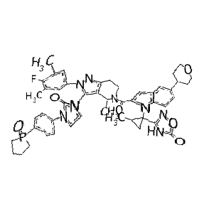 Cc1cc(-n2nc3c(c2-n2ccn(-c4ccc(P5(=O)CCCC5)cc4)c2=O)C(C)N(C(=O)c2cc4cc(C5CCOCC5)ccc4n2C2(c4noc(=O)[nH]4)CC2C)CC3)cc(C)c1F